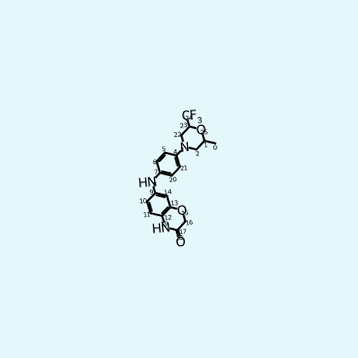 CC1CN(c2ccc(Nc3ccc4c(c3)OCC(=O)N4)cc2)CC(C(F)(F)F)O1